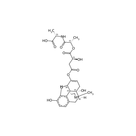 C[C@H](NC(=O)[C@H](C)OC(=O)[C@@H](O)CC(=O)OC1=CC[C@@]2(O)[C@H]3Cc4ccc(O)c5c4[C@@]2(CCN3C)[C@H]1O5)C(=O)O